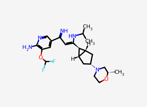 CC(C)N/C(=C\C(=N)c1cnc(N)c(OC(F)F)c1)[C@H]1[C@@H]2C[C@H](N3CCO[C@@H](C)C3)C[C@@H]21